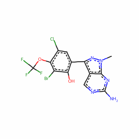 Cn1nc(-c2cc(Cl)c(OC(F)(F)F)c(Br)c2O)c2cnc(N)nc21